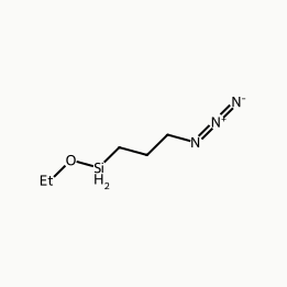 CCO[SiH2]CCCN=[N+]=[N-]